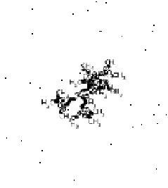 CCO[Si](CCCSSCCC[Si](OCC)(OCC)O[Si]1(O[Si](CCCSSCCC[Si](OCC)(OCC)OCC)(OCC)OCC)O[Si](OCC)(OCC)O[Si](OCC)(OCC)O1)(OCC)OCC